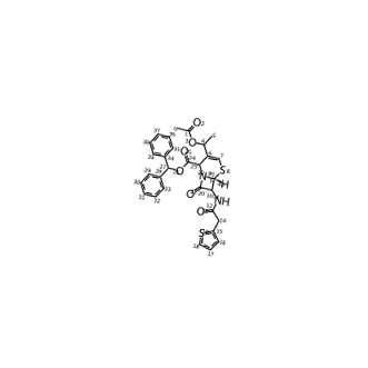 CC(=O)OC(C)C1=CS[C@@H]2C(NC(=O)Cc3cccs3)C(=O)N2C1C(=O)OC(c1ccccc1)c1ccccc1